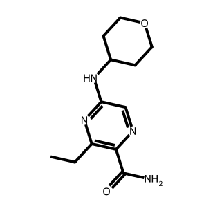 CCc1nc(NC2CCOCC2)cnc1C(N)=O